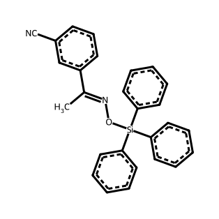 C/C(=N\O[Si](c1ccccc1)(c1ccccc1)c1ccccc1)c1cccc(C#N)c1